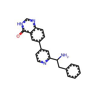 NC(Cc1ccccc1)c1cc(-c2ccc3nc[nH]c(=O)c3c2)ccn1